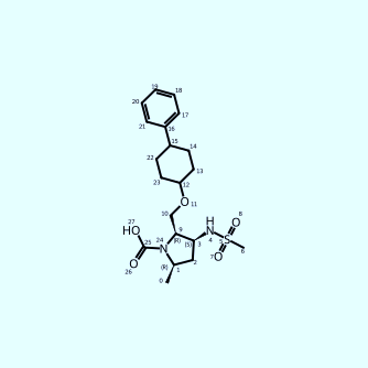 C[C@@H]1C[C@H](NS(C)(=O)=O)[C@H](COC2CCC(c3ccccc3)CC2)N1C(=O)O